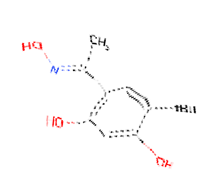 CC(=NO)c1cc(C(C)(C)C)c(O)cc1O